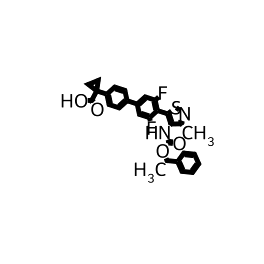 Cc1nsc(-c2c(F)cc(-c3ccc(C4(C(=O)O)CC4)cc3)cc2F)c1NC(=O)O[C@H](C)c1ccccc1